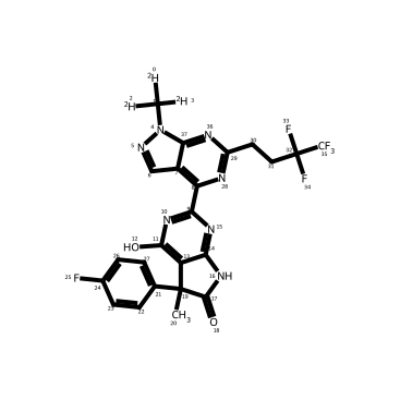 [2H]C([2H])([2H])n1ncc2c(-c3nc(O)c4c(n3)NC(=O)C4(C)c3ccc(F)cc3)nc(CCC(F)(F)C(F)(F)F)nc21